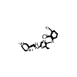 Cc1nc(NCC2CNCCN2)cnc1Sc1cccc(Cl)c1Cl